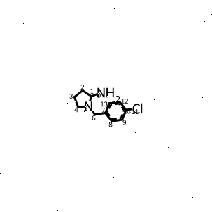 NC1CCCN1Cc1ccc(Cl)cc1